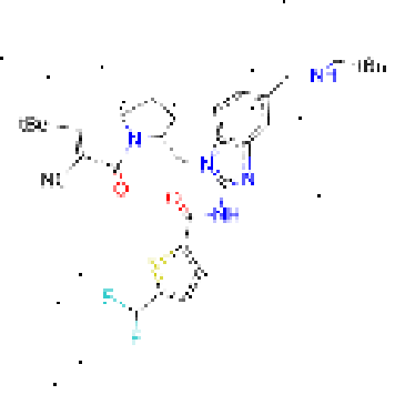 CC(C)(C)/C=C(\C#N)C(=O)N1CCC[C@@H]1Cn1c(NC(=O)c2ccc(C(F)F)s2)nc2cc(CNCC(C)(C)C)ccc21